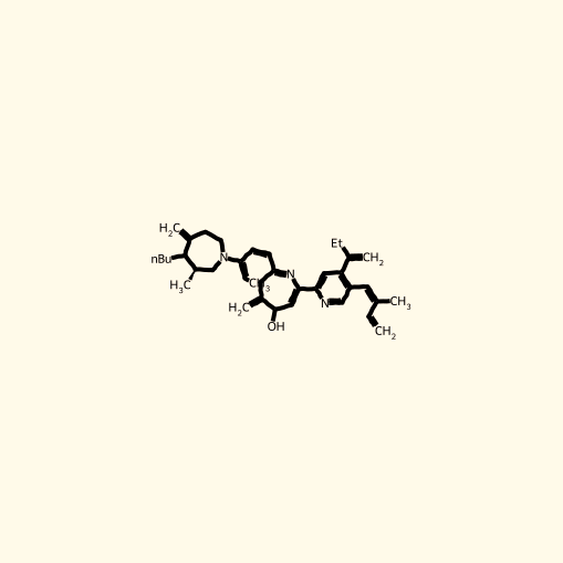 C=C/C(C)=C\c1cnc(C2=CC(O)C(=C)CC(/C=C\C(=C/C)N3CCC(=C)C(CCCC)[C@H](C)C3)=N2)cc1C(=C)CC